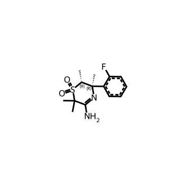 C[C@@H]1[C@@](C)(c2ccccc2F)N=C(N)C(C)(C)S1(=O)=O